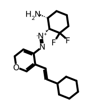 N[C@@H]1CCCC(F)(F)[C@@H]1[N+]=NC1=CCOC=C1/C=C/C1CCCCC1